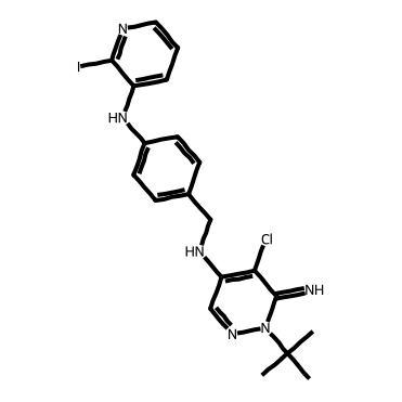 CC(C)(C)n1ncc(NCc2ccc(Nc3cccnc3I)cc2)c(Cl)c1=N